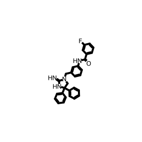 N=C1NC(c2ccccc2)(c2ccccc2)CN1Cc1cccc(NC(=O)c2cccc(F)c2)c1